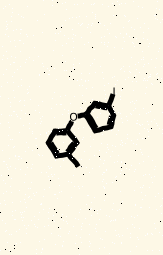 [CH2]c1cccc(Oc2cccc(I)c2)c1